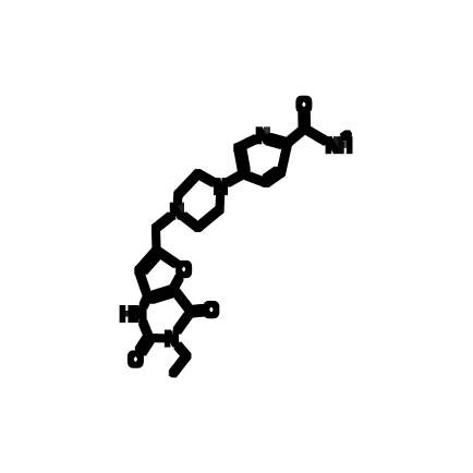 CCn1c(=O)[nH]c2cc(CN3CCN(c4ccc(C(=O)NC)nc4)CC3)oc2c1=O